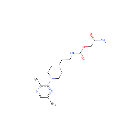 Cc1cnc(C)c(N2CCC(CCNC(=O)OCC(N)=O)CC2)n1